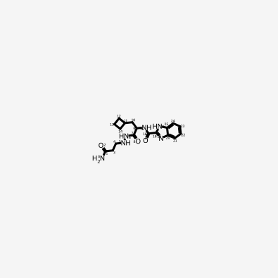 NC(=O)CCNNC(=O)C(CC1CCC1)NC(=O)c1nc2ccccc2[nH]1